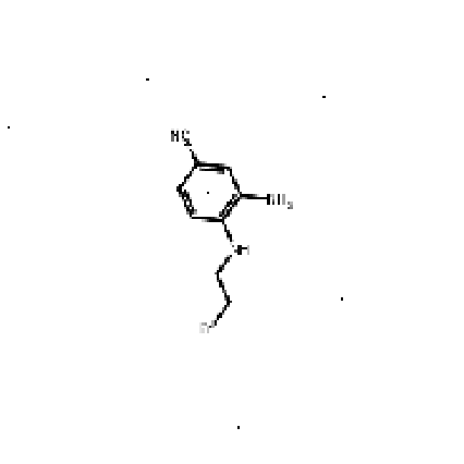 CC(C)CCNc1ccc(C#N)cc1N